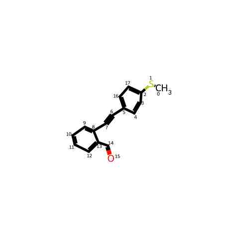 CSc1ccc(C#Cc2ccccc2C=O)cc1